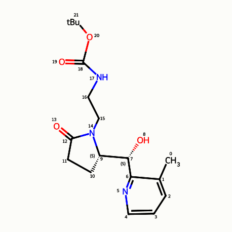 Cc1cccnc1[C@@H](O)[C@@H]1CCC(=O)N1CCNC(=O)OC(C)(C)C